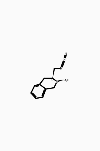 [N-]=[N+]=NC[C@@H]1Cc2ccccc2CN1C(=O)O